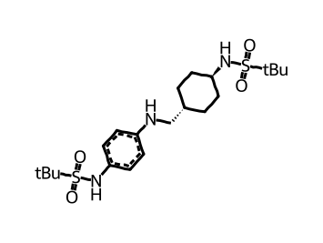 CC(C)(C)S(=O)(=O)Nc1ccc(NC[C@H]2CC[C@H](NS(=O)(=O)C(C)(C)C)CC2)cc1